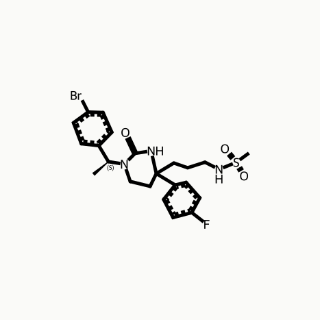 C[C@@H](c1ccc(Br)cc1)N1CCC(CCCNS(C)(=O)=O)(c2ccc(F)cc2)NC1=O